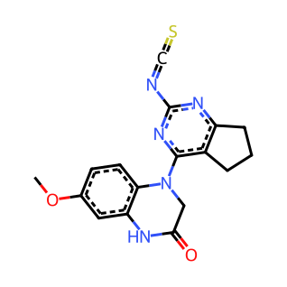 COc1ccc2c(c1)NC(=O)CN2c1nc(N=C=S)nc2c1CCC2